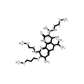 COCCCO[C@@H]1C(C)C=C2CC(C(C)C)C3=C(NC(=O)[C@@H](N(O)NCCOC)C3O)C2=NC1NCCOC